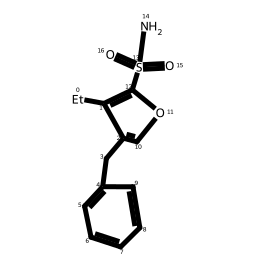 CCc1c(Cc2ccccc2)coc1S(N)(=O)=O